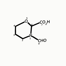 O=CN1CCCOC1C(=O)O